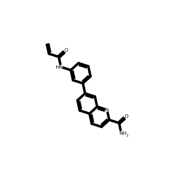 C=CC(=O)Nc1cccc(-c2ccc3ccc(C(N)=O)nc3c2)c1